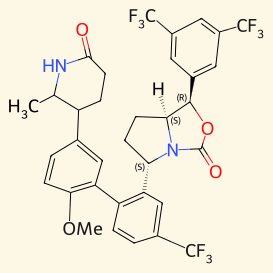 COc1ccc(C2CCC(=O)NC2C)cc1-c1ccc(C(F)(F)F)cc1[C@@H]1CC[C@H]2[C@@H](c3cc(C(F)(F)F)cc(C(F)(F)F)c3)OC(=O)N12